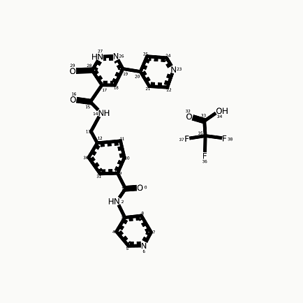 O=C(Nc1ccncc1)c1ccc(CNC(=O)c2cc(-c3ccncc3)n[nH]c2=O)cc1.O=C(O)C(F)(F)F